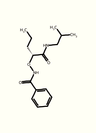 CCC[C@@H](ONC(=O)c1ccccc1)C(=O)NCC(C)C